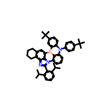 CC(C)c1cccc(C(C)C)c1-c1nc2c3c(cc4c2n1-c1cccc2c1B4c1cc(C(C)(C)C)ccc1N2c1ccc(C(C)(C)C)cc1)CCCC3